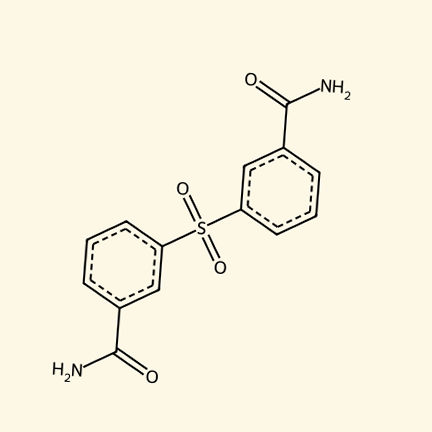 NC(=O)c1cccc(S(=O)(=O)c2cccc(C(N)=O)c2)c1